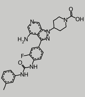 Cc1cccc(NC(=O)Nc2ccc(-c3nn(C4CCN(C(=O)O)CC4)c4cncc(N)c34)cc2F)c1